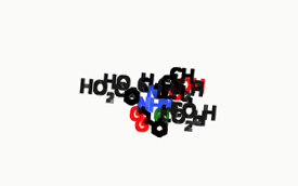 CC(C)C(=O)O.CC(CN(CC(=O)O)CC(=O)O)N(CC(=O)O)CC(=O)O.O=C(CC(=O)c1ccccc1Cl)Nc1ccc(C(=O)O)cc1